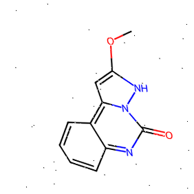 COc1cc2c3ccccc3nc(=O)n2[nH]1